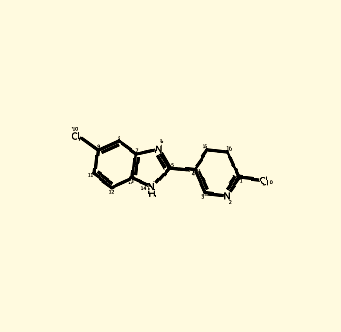 ClC1=NC=C(c2nc3cc(Cl)ccc3[nH]2)CC1